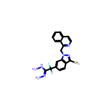 Cc1nn(Cc2nccc3ccccc23)c2cc(C(F)(F)/C(=N/N)NN)ccc12